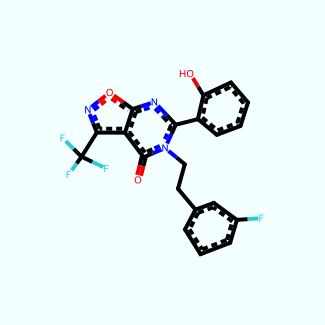 O=c1c2c(C(F)(F)F)noc2nc(-c2ccccc2O)n1CCc1cccc(F)c1